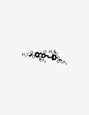 C=CC(=O)Oc1ccc(/C=C2\CCC(/C=C/c3ccc(OC(=O)C=C)c(OC)c3)C2=O)c(OC)c1